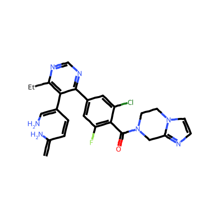 C=C(N)/C=C\C(=C/N)c1c(CC)ncnc1-c1cc(F)c(C(=O)N2CCn3ccnc3C2)c(Cl)c1